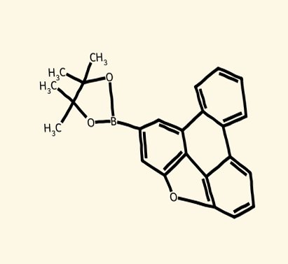 CC1(C)OB(c2cc3oc4cccc5c6ccccc6c(c2)c3c45)OC1(C)C